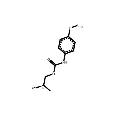 CC(C)[C@H](C)COC(=O)Nc1ccc(OC(F)(F)F)cc1